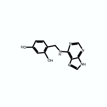 Oc1ccc(CNc2ncnc3[nH]cnc23)c(O)c1